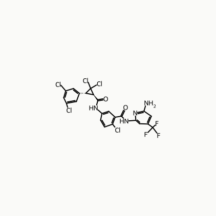 Nc1cc(C(F)(F)F)cc(NC(=O)c2cc(NC(=O)[C@H]3[C@H](c4cc(Cl)cc(Cl)c4)C3(Cl)Cl)ccc2Cl)n1